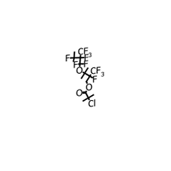 CC(C)(Cl)C(=O)OCC(F)(C(F)(F)F)C(C)(C)OC(F)(F)C(F)(C(C)(C)F)C(F)(F)F